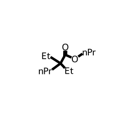 CCCOC(=O)C(CC)(CC)CCC